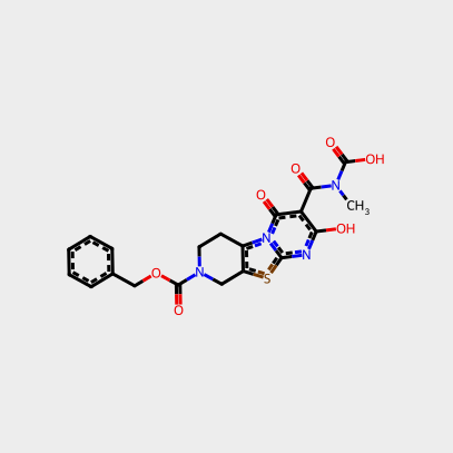 CN(C(=O)O)C(=O)c1c(O)nc2sc3c(n2c1=O)CCN(C(=O)OCc1ccccc1)C3